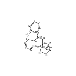 C1=CC2Sc3ccccc3N(CC3CN4CCC3CC4)C2C=C1